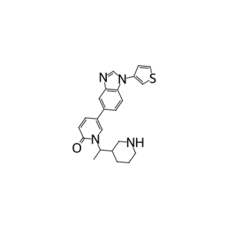 CC(C1CCCNC1)n1cc(-c2ccc3c(c2)ncn3-c2ccsc2)ccc1=O